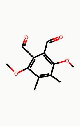 COc1c(C)c(C)c(OC)c(C=O)c1C=O